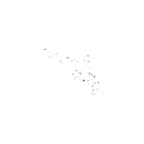 CC/C=C\C/C=C\C/C=C\C/C=C\C/C=C\C/C=C\CCC(=O)NC(CSSC(C)(C)C(NC(=O)CCCc1ccccc1)C(=O)NC(CO)CO)C(N)=O